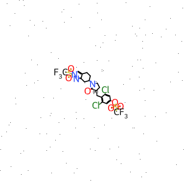 O=C1[C@H](Cc2c(Cl)cc(OS(=O)(=O)C(F)(F)F)cc2Cl)CCN1C1CCc2cn(S(=O)(=O)C(F)(F)F)nc2C1